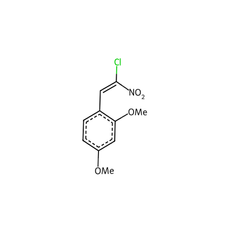 COc1ccc(/C=C(/Cl)[N+](=O)[O-])c(OC)c1